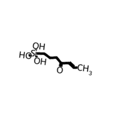 CC=CC(=O)CCC[Si](O)(O)O